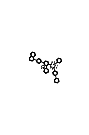 c1ccc(-c2ccc(-c3nc(-c4ccccc4)nc(-c4ccc(-c5ccc(-c6cccc7ccccc67)cc5)c5oc6ccccc6c45)n3)cc2)cc1